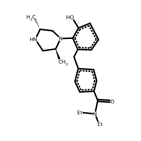 CCN(CC)C(=O)c1ccc(Cc2cccc(O)c2N2C[C@@H](C)NC[C@@H]2C)cc1